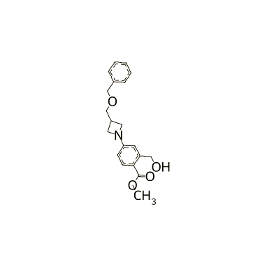 COC(=O)c1ccc(N2CC(COCc3ccccc3)C2)cc1CO